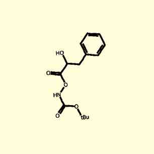 CC(C)(C)OC(=O)NOC(=O)C(O)Cc1ccccc1